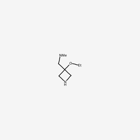 CCOC1(CNC)CNC1